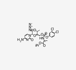 CC(C)OC(=O)[C@H](C)NP(=O)(OC[C@@H](OC(CN=[N+]=[N-])n1ccc(N)nc1=O)C(C)O)Oc1ccc(Cl)c(Cl)c1